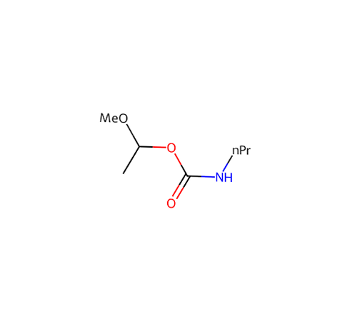 CCCNC(=O)OC(C)OC